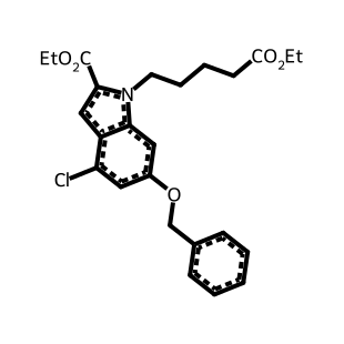 CCOC(=O)CCCCn1c(C(=O)OCC)cc2c(Cl)cc(OCc3ccccc3)cc21